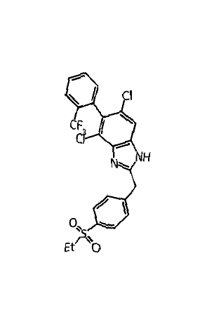 CCS(=O)(=O)c1ccc(Cc2nc3c(Cl)c(-c4ccccc4C(F)(F)F)c(Cl)cc3[nH]2)cc1